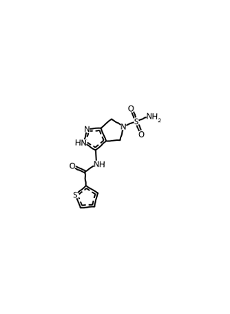 NS(=O)(=O)N1Cc2n[nH]c(NC(=O)c3cccs3)c2C1